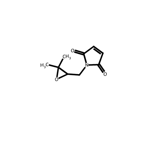 CC1(C)OC1CN1C(=O)C=CC1=O